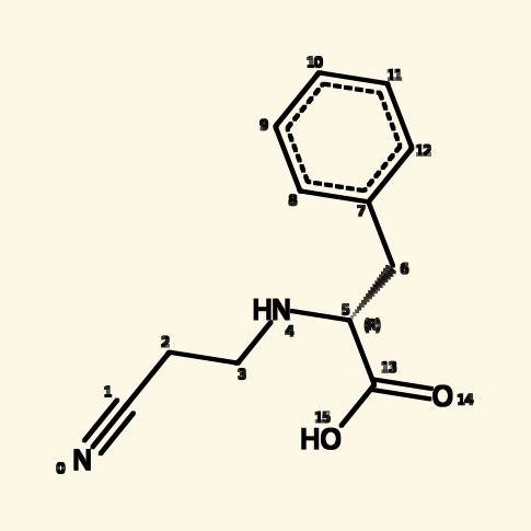 N#CCCN[C@H](Cc1ccccc1)C(=O)O